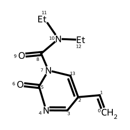 C=Cc1cnc(=O)n(C(=O)N(CC)CC)c1